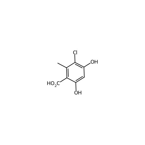 Cc1c(Cl)c(O)cc(O)c1C(=O)O